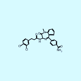 CN1C(=O)C(NC(=O)CCc2ccc(Cl)c(Cl)c2)N=C(c2ccc(C(N)=O)cc2)c2ccccc21